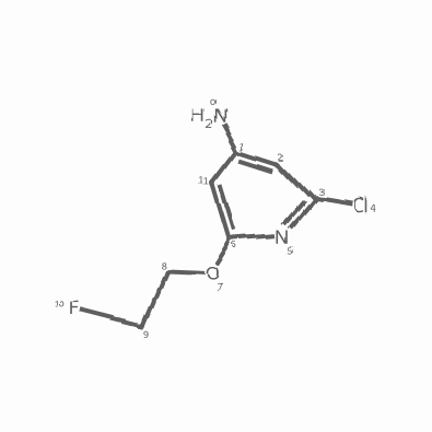 Nc1cc(Cl)nc(OCCF)c1